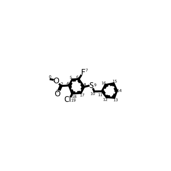 COC(=O)c1cc(F)c(SCc2ccccc2)cc1Cl